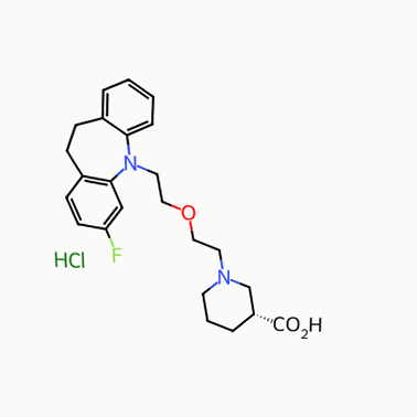 Cl.O=C(O)[C@@H]1CCCN(CCOCCN2c3ccccc3CCc3ccc(F)cc32)C1